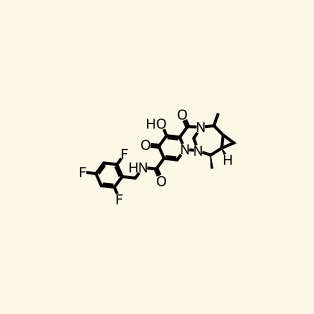 CC1C2C[C@@H]2[C@@H](C)N2CN1C(=O)c1c(O)c(=O)c(C(=O)NCc3c(F)cc(F)cc3F)cn12